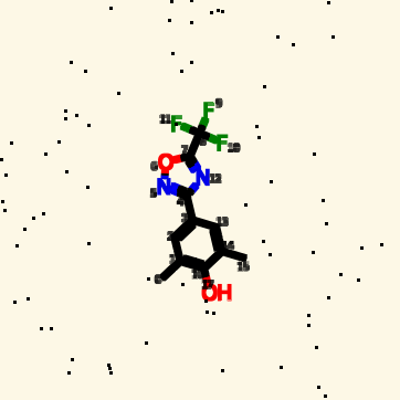 Cc1cc(-c2noc(C(F)(F)F)n2)cc(C)c1O